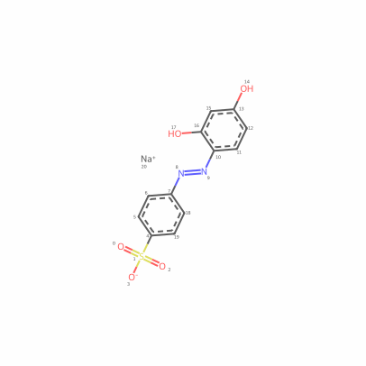 O=S(=O)([O-])c1ccc(N=Nc2ccc(O)cc2O)cc1.[Na+]